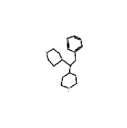 c1ccc(CC(C2CCNCC2)N2CCOCC2)cc1